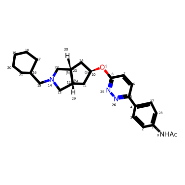 CC(=O)Nc1ccc(-c2ccc(O[C@H]3C[C@@H]4CN(CC5CCCCC5)C[C@@H]4C3)nn2)cc1